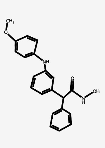 COc1ccc(Nc2cccc(C(C(=O)NO)c3ccccc3)c2)cc1